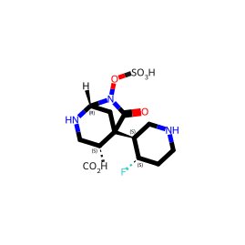 O=C(O)[C@@H]1CN[C@H]2CC1([C@H]1CNCC[C@@H]1F)C(=O)N2OS(=O)(=O)O